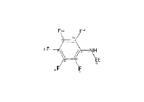 CCNc1c(F)c(F)c(F)c(F)c1F